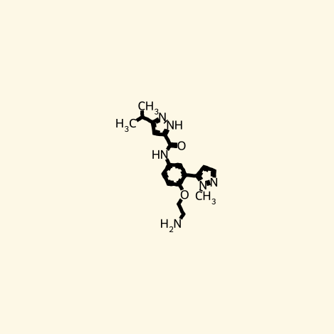 CC(C)c1cc(C(=O)Nc2ccc(OCCN)c(-c3ccnn3C)c2)[nH]n1